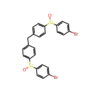 [O-][S+](c1ccc(Br)cc1)c1ccc(Cc2ccc([S+]([O-])c3ccc(Br)cc3)cc2)cc1